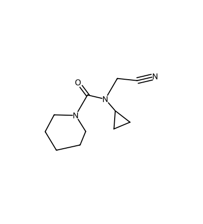 N#CCN(C(=O)N1CCCCC1)C1CC1